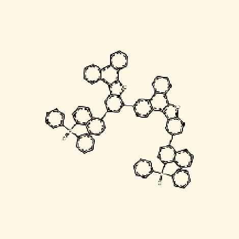 O=P(c1ccccc1)(c1ccccc1)c1ccc(-c2ccc3oc4c5ccccc5c5cc(-c6cc(-c7cccc8c(P(=O)(c9ccccc9)c9ccccc9)cccc78)cc7c6oc6c8ccccc8c8ccccc8c76)ccc5c4c3c2)c2ccccc12